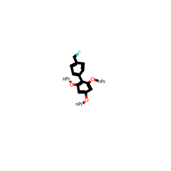 CCCOc1cc(OCCC)c(-c2ccc(CF)cc2)c(OCCC)c1